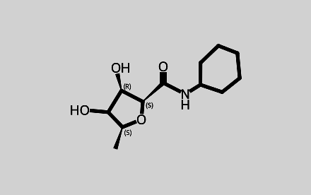 C[C@@H]1O[C@H](C(=O)NC2CCCCC2)[C@H](O)C1O